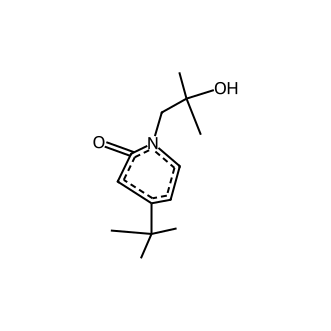 CC(C)(O)Cn1ccc(C(C)(C)C)cc1=O